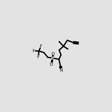 C#CCC(C)(C)CCC(C#N)S(=O)(=O)CCC(F)(F)F